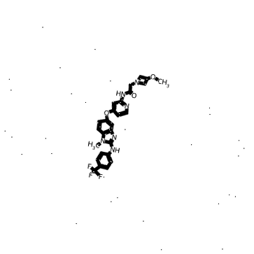 COC1CN(CC(=O)Nc2cc(Oc3ccc4c(c3)nc(Nc3ccc(C(F)(F)F)cc3)n4C)ccn2)C1